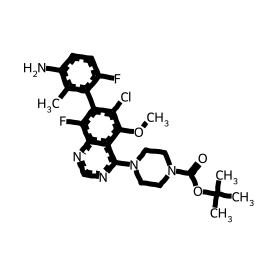 COc1c(Cl)c(-c2c(F)ccc(N)c2C)c(F)c2ncnc(N3CCN(C(=O)OC(C)(C)C)CC3)c12